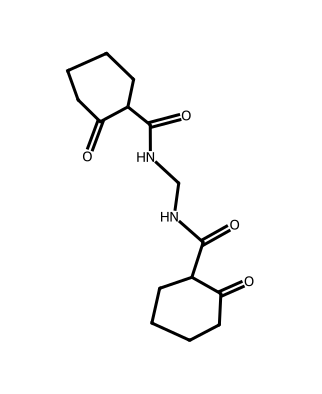 O=C1CCCCC1C(=O)NCNC(=O)C1CCCCC1=O